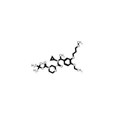 CCOc1ccc(C(C)N(C(=O)[C@H]2CN(C(=O)OC(C)(C)C)CCO2)C2CC2)cc1OCCCOC